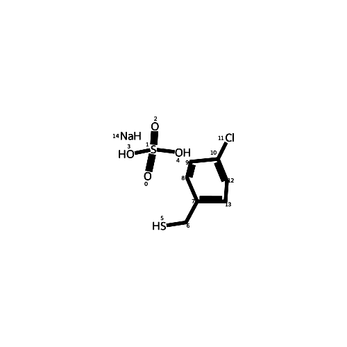 O=S(=O)(O)O.SCc1ccc(Cl)cc1.[NaH]